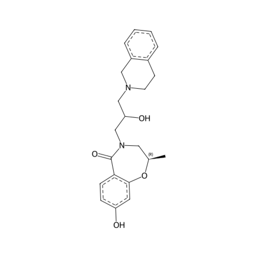 C[C@@H]1CN(CC(O)CN2CCc3ccccc3C2)C(=O)c2ccc(O)cc2O1